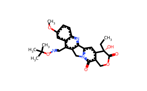 CC[C@@]1(O)C(=O)OCc2c1cc1n(c2=O)Cc2c-1nc1ccc(OC)cc1c2C=NOC(C)(C)C